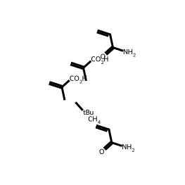 C.C=C(C)C(=O)O.C=C(C)C(=O)O.C=CC(N)=O.C=CC(N)=O.CC(C)(C)C